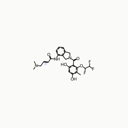 Cc1c(O)cc(O)c(C(=O)N2Cc3cccc(NC(=O)/C=C/CN(C)C)c3C2)c1OC(F)C(F)F